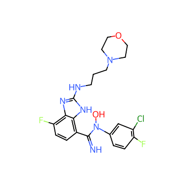 N=C(c1ccc(F)c2nc(NCCCN3CCOCC3)[nH]c12)N(O)c1ccc(F)c(Cl)c1